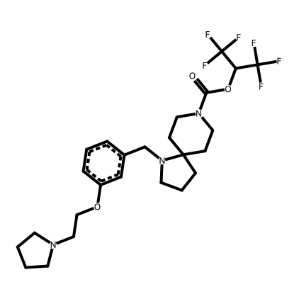 O=C(OC(C(F)(F)F)C(F)(F)F)N1CCC2(CCCN2Cc2cccc(OCCN3CCCC3)c2)CC1